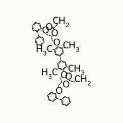 C=CC(=O)OC(COc1ccccc1-c1ccccc1)COc1c(C)cc(-c2cc(C)c(OCC(COc3ccccc3-c3ccccc3)OC(=O)C=C)c(C)c2)cc1C